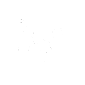 Brc1ccc2c(c1)c1ccccc1n2-c1nc(-c2ccccc2)nc2ccccc12